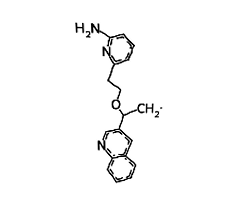 [CH2]C(OCCc1cccc(N)n1)c1cnc2ccccc2c1